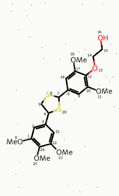 COc1cc(C2CSC(c3cc(OC)c(OCCO)c(OC)c3)S2)cc(OC)c1OC